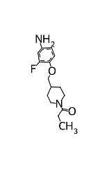 CCC(=O)N1CCC(COc2ccc(N)cc2F)CC1